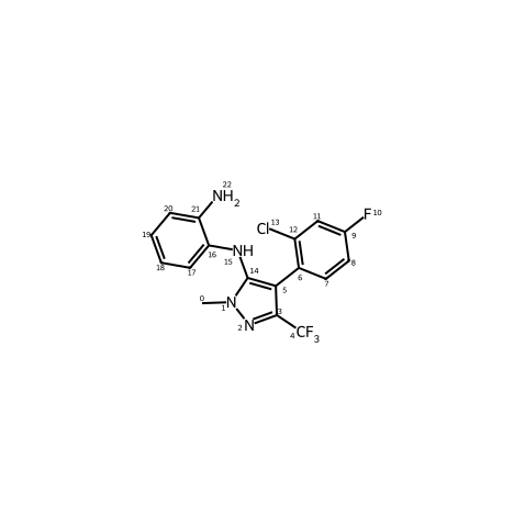 Cn1nc(C(F)(F)F)c(-c2ccc(F)cc2Cl)c1Nc1ccccc1N